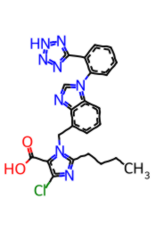 CCCCc1nc(Cl)c(C(=O)O)n1Cc1cccc2c1ncn2-c1ccccc1-c1nn[nH]n1